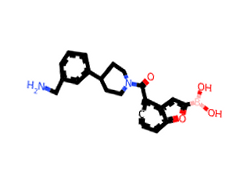 NCc1cccc(C2CCN(C(=O)c3cccc4oc(B(O)O)cc34)CC2)c1